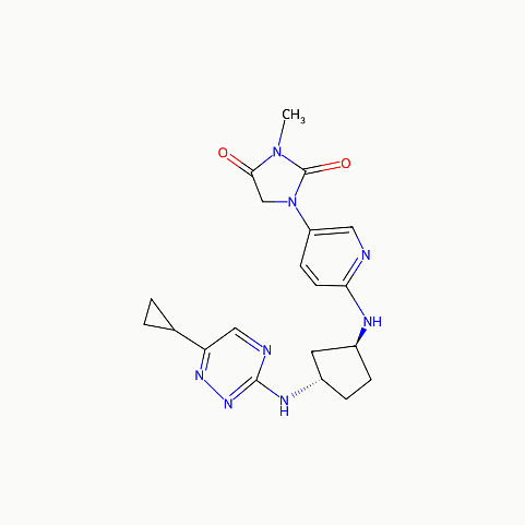 CN1C(=O)CN(c2ccc(N[C@H]3CC[C@H](Nc4ncc(C5CC5)nn4)C3)nc2)C1=O